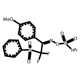 CCCS(=O)(=O)ON=C(c1ccc(OC)cc1)C(F)(F)S(=O)(=O)c1ccccc1